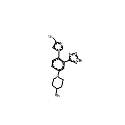 CC(C)(C)c1cn(-c2ccc(N3CCC(C(C)(C)C)CC3)cc2-c2nn[nH]n2)cn1